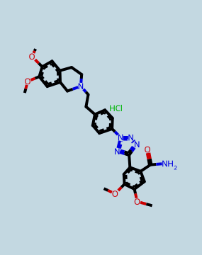 COc1cc2c(cc1OC)CN(CCc1ccc(-n3nnc(-c4cc(OC)c(OC)cc4C(N)=O)n3)cc1)CC2.Cl